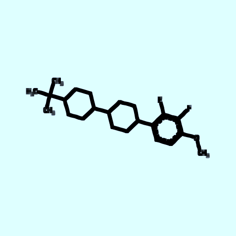 COc1ccc(C2CCC(C3CCC(C(C)(C)C)CC3)CC2)c(F)c1F